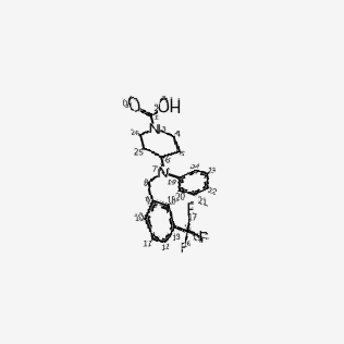 O=C(O)N1CCC(N(Cc2cccc(C(F)(F)F)c2)c2ccccc2)CC1